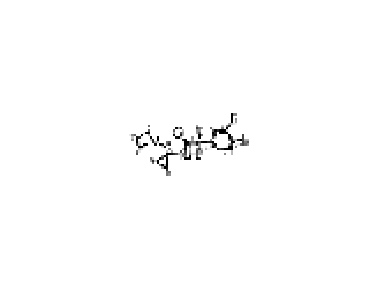 O=C(NC1(CN2CCC2)CC1)C(F)(F)c1ccc(F)c(F)c1